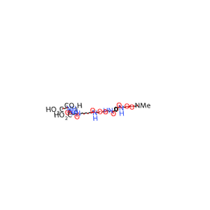 CNCCOCCOCCNC(=O)c1ccc(C(=O)NCCOCCOCCNC(=O)CCCCCCCNC(=O)CC[C@H](NC(=O)N[C@@H](CCC(=O)O)C(=O)O)C(=O)O)cc1